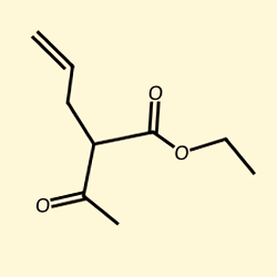 C=CCC(C(C)=O)C(=O)OCC